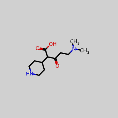 CN(C)CCC(=O)C(C(=O)O)C1CCNCC1